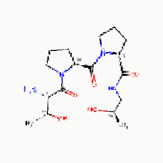 C[C@@H](O)CNC(=O)[C@@H]1CCCN1C(=O)[C@@H]1CCCN1C(=O)[C@@H](N)[C@@H](C)O